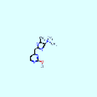 CCOc1nccc(Cc2ncc(N(C)C)c(C)n2)n1